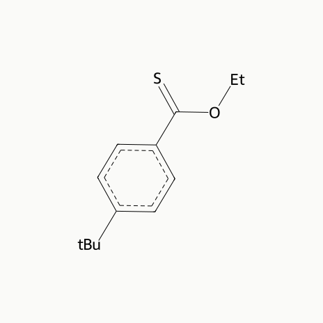 CCOC(=S)c1ccc(C(C)(C)C)cc1